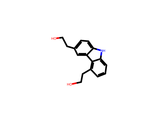 OCCc1ccc2[nH]c3cccc(CCO)c3c2c1